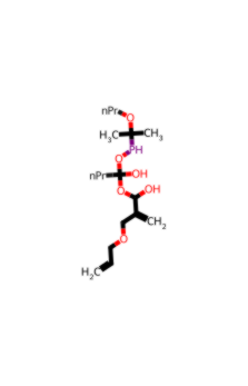 C=CCOCC(=C)C(O)OC(O)(CCC)OPC(C)(C)OCCC